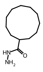 NNC(=O)C1CCCCCCCCCC1